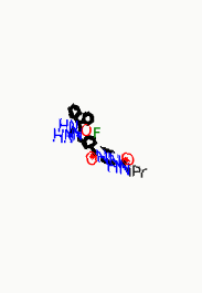 CC(C)NC(=O)N1CCN(C(=O)c2cc(F)cc(CN3C(=N)NC(c4ccccc4)(c4ccccc4)C3=O)c2)CC1